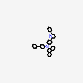 c1ccc(-c2ccc(N(c3ccc(-c4cccc(-c5ccccc5)n4)cc3)c3cc4ccccc4c4ccccc34)cc2)cc1